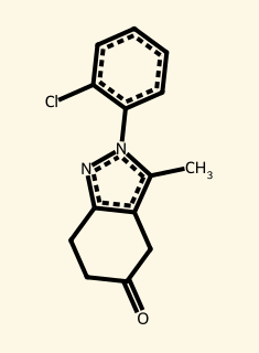 Cc1c2c(nn1-c1ccccc1Cl)CCC(=O)C2